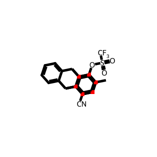 Cc1cc(C#N)c2c(c1OS(=O)(=O)C(F)(F)F)C1c3ccccc3C2c2ccccc21